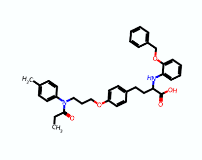 CCC(=O)N(CCCOc1ccc(CCC(Nc2ccccc2OCc2ccccc2)C(=O)O)cc1)c1ccc(C)cc1